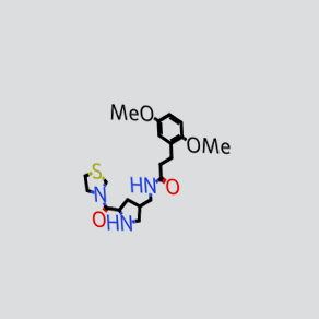 COc1ccc(OC)c(CCC(=O)NCC2CNC(C(=O)N3CCSC3)C2)c1